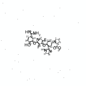 COC(=O)C1CCCN1c1ccc(Oc2c(F)cnc(Oc3cc(C(=N)N)ccc3O)c2F)c(C2N=CCN2C)c1